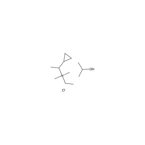 CC(C)O.CC[N+](C)(C)C(C)C1CC1.[Cl-]